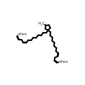 CCCCC/C=C\C/C=C\CCCCCCCCC1(CCCCCCCC/C=C\C/C=C\CCCCC)CCC(C)C1